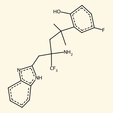 CC(C)(CC(N)(Cc1nc2ccccc2[nH]1)C(F)(F)F)c1cc(F)ccc1O